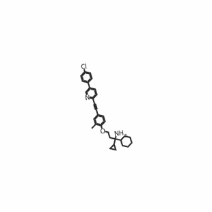 Cc1cc(C#Cc2ccc(-c3ccc(Cl)cc3)cn2)ccc1OCCC(N)(C1CCCCC1)C1CC1